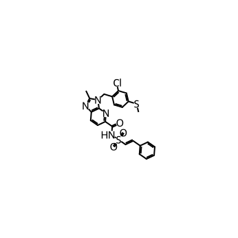 CSc1ccc(Cn2c(C)nc3ccc(C(=O)NS(=O)(=O)C=Cc4ccccc4)nc32)c(Cl)c1